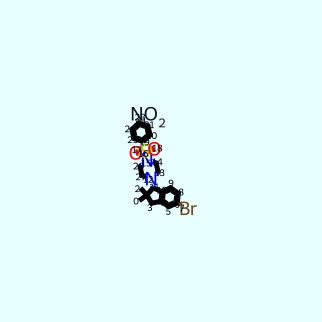 CC1(C)Cc2cc(Br)ccc2C1N1CCN(S(=O)(=O)c2ccc([N+](=O)[O-])cc2)CC1